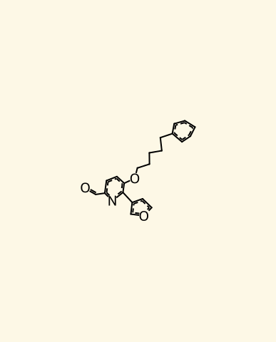 O=Cc1ccc(OCCCCCc2ccccc2)c(-c2ccoc2)n1